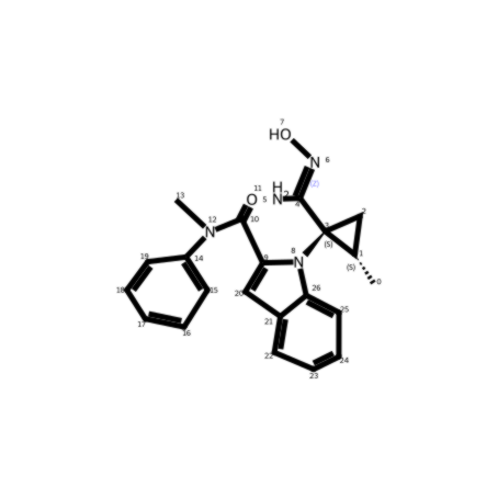 C[C@H]1C[C@]1(/C(N)=N/O)n1c(C(=O)N(C)c2ccccc2)cc2ccccc21